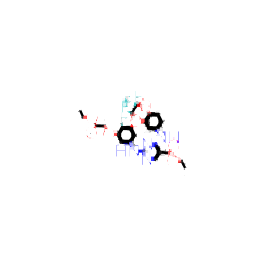 CCOC(=O)COc1cccc(Nc2ncc(C(=O)OCC)c(Nc3ccc4c(c3)OC(F)(F)C(F)(F)O4)n2)c1